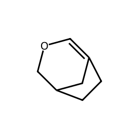 C1=C2CCC(CO1)C2